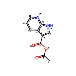 CC(=O)OC(=O)c1c[nH]c2ncccc12